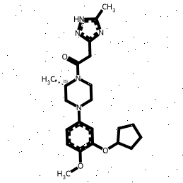 COc1ccc(N2CCN(C(=O)Cc3n[nH]c(C)n3)[C@@H](C)C2)cc1OC1CCCC1